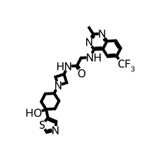 Cc1nc(NCC(=O)NC2CN(C3CCC(O)(c4cncs4)CC3)C2)c2cc(C(F)(F)F)ccc2n1